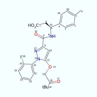 Cc1ccc([C@H](CC(=O)O)NC(=O)c2cc(OCC(=O)C(C)(C)C)n(-c3ccccc3F)n2)cc1